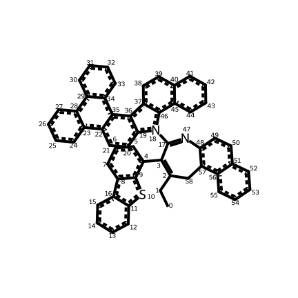 CCC1=C(c2cccc3c2sc2ccccc23)C(n2c3ccc4c5ccccc5c5ccccc5c4c3c3ccc4ccccc4c32)=Nc2ccc3ccccc3c2C1